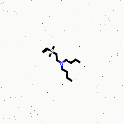 C=C[Si](C)(C)CCN(CCCC)CCCC